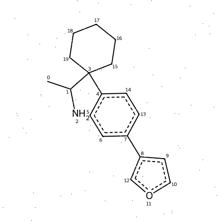 CC(N)C1(c2ccc(-c3ccoc3)cc2)CCCCC1